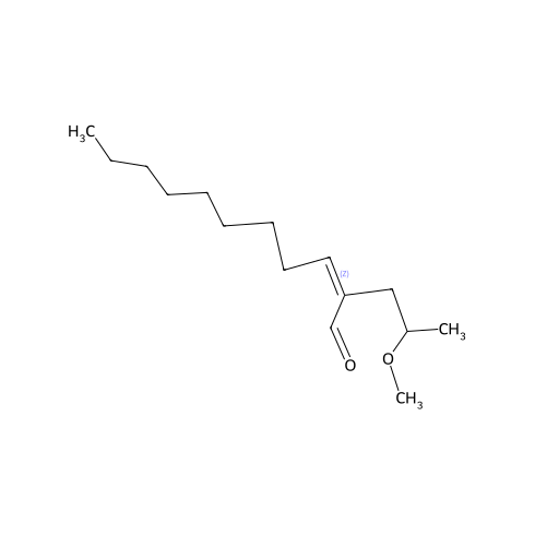 CCCCCCCC/C=C(\C=O)CC(C)OC